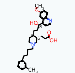 COc1ccc2nccc([C@H](O)CC[C@@H]3CCN(CCCCc4cccc(C)c4)C[C@H]3CCC(=O)O)c2c1